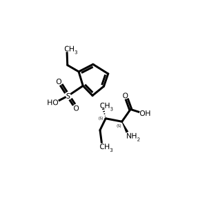 CC[C@H](C)[C@H](N)C(=O)O.CCc1ccccc1S(=O)(=O)O